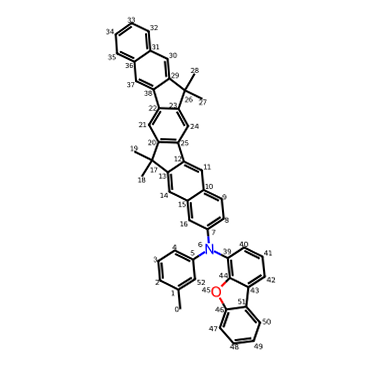 Cc1cccc(N(c2ccc3cc4c(cc3c2)C(C)(C)c2cc3c(cc2-4)C(C)(C)c2cc4ccccc4cc2-3)c2cccc3c2oc2ccccc23)c1